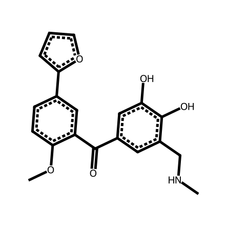 CNCc1cc(C(=O)c2cc(-c3ccco3)ccc2OC)cc(O)c1O